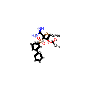 CSc1sc(C(=N)N)c(S(=O)(=O)c2cccc(-c3ccccc3)c2)c1OC(=O)C(F)(F)F